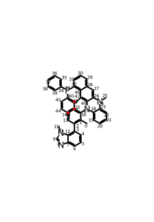 Cc1c(-c2cccc3ncn(C)c23)cccc1N1c2ccccc2N(C)c2cc3cccc(P(c4ccccc4)c4ccccc4)c3c(C)c21